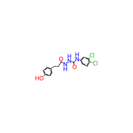 O=C(CCc1ccc(O)cc1)NNC(=O)Nc1ccc(Cl)c(Cl)c1